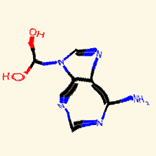 Nc1ncnc2c1ncn2C(O)O